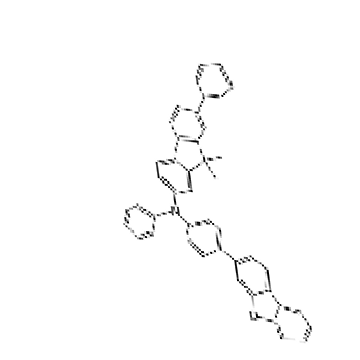 CC1(C)c2cc(-c3ccccc3)ccc2-c2ccc(N(c3ccccc3)c3ccc(-c4ccc5c(c4)oc4ccccc45)cc3)cc21